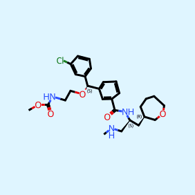 CNC[C@H](C[C@H]1CCCCOC1)NC(=O)c1cccc([C@H](OCCNC(=O)OC)c2cccc(Cl)c2)c1